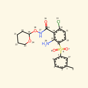 Cc1cccc(S(=O)(=O)c2ccc(Cl)c(C(=O)NOC3CCCCO3)c2N)c1